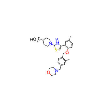 Cc1ccc(OCc2ccc(CN3CCOCC3)cc2C)c(C2=CSC(N3CCC(C(=O)O)CC3)N2)c1